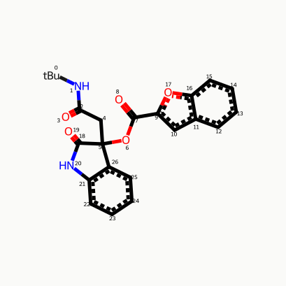 CC(C)(C)NC(=O)CC1(OC(=O)c2cc3ccccc3o2)C(=O)Nc2ccccc21